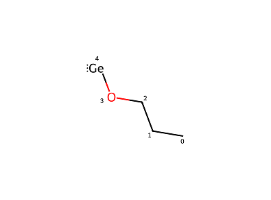 CCC[O][Ge]